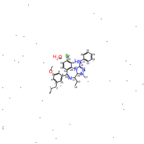 CCCc1cc(OC)cc(C2=NC(CC)C3N(C)N=C(Nc4ccccc4)N3c3cc(Br)ccc32)c1.O